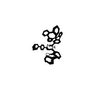 C1=CC2c3ccccc3C3(c4ccccc4-c4ccc(-c5nc(-c6ccc(-c7ccccc7)cc6)cc(-c6cccc7c6oc6ccccc67)n5)cc43)c3ccccc3C2C=C1